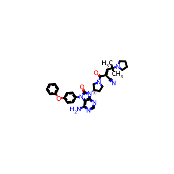 CC(C)(C=C(C#N)C(=O)N1CC[C@H](n2c(=O)n(-c3ccc(Oc4ccccc4)cc3)c3c(N)ncnc32)C1)N1CCCC1